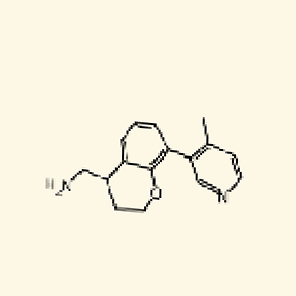 Cc1ccncc1-c1cccc2c1OCCC2CN